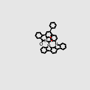 O=c1c2ccccc2c2cc(-c3ccccc3)cc3nc(-n4c5ccccc5c5ccc6c7ccccc7n(-c7ccccc7)c6c54)n1c32